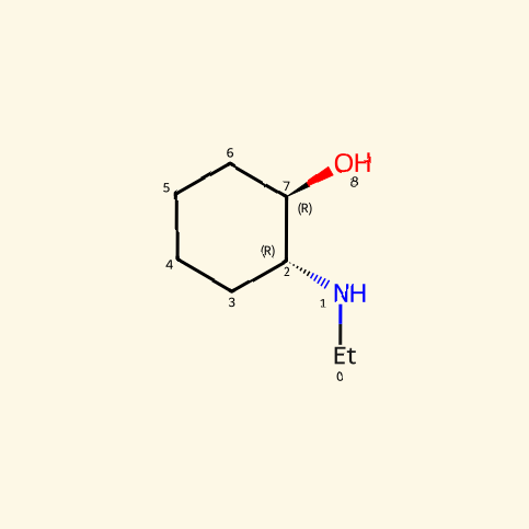 CCN[C@@H]1CCCC[C@H]1O